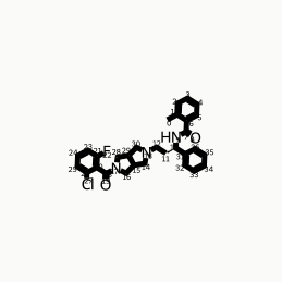 Cc1ccccc1C(=O)N[C@@H](CCN1CC2CN(C(=O)c3c(F)cccc3Cl)CC2C1)c1ccccc1